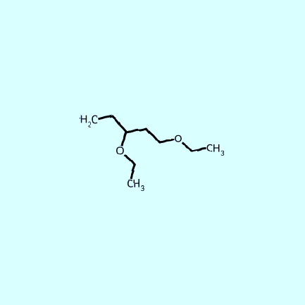 [CH2]CC(CCOCC)OCC